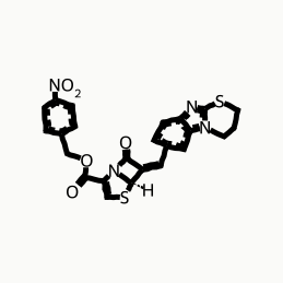 O=C(OCc1ccc([N+](=O)[O-])cc1)C1=CS[C@@H]2C(=Cc3ccc4nc5n(c4c3)CCCS5)C(=O)N12